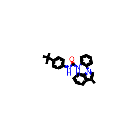 Cc1cn(-c2ccccc2NC(=O)Nc2ccc(C(C)(C)C)cc2)c2ccccc12